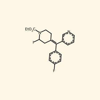 CCOC(=O)N1CCC(=C(c2ccc(F)cc2)c2cccnc2)CC1I